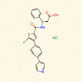 Cl.O=C(O)C[C@@H](NC(=O)c1cc(-c2ccc(-c3ccncc3)cc2)c(F)s1)c1ccccc1